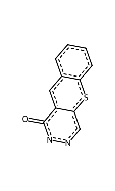 O=c1nncc2sc3ccccc3cc1-2